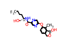 Cc1c(Oc2cnc(C(=O)N[C@H](CO)CCCC(F)(F)F)cn2)ccc2c1B(O)OC2